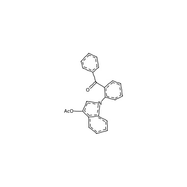 CC(=O)Oc1cn(-c2ccccc2C(=O)c2ccccc2)c2ccccc12